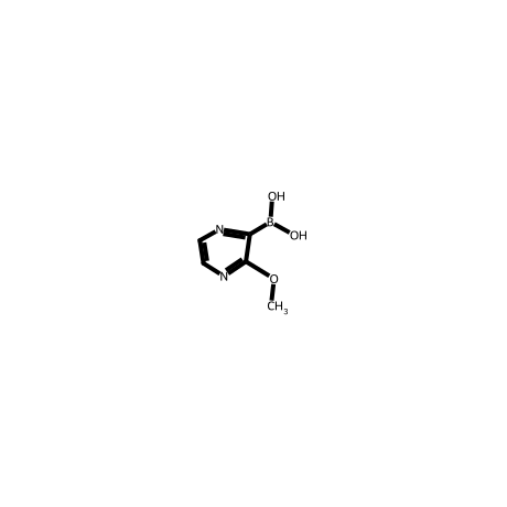 COc1nccnc1B(O)O